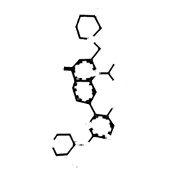 CC(C)n1c(CN2CCC[C@H](F)C2)cc(=O)c2ccc(-c3nc(N[C@@H]4CCOC[C@H]4O)ncc3F)cc21